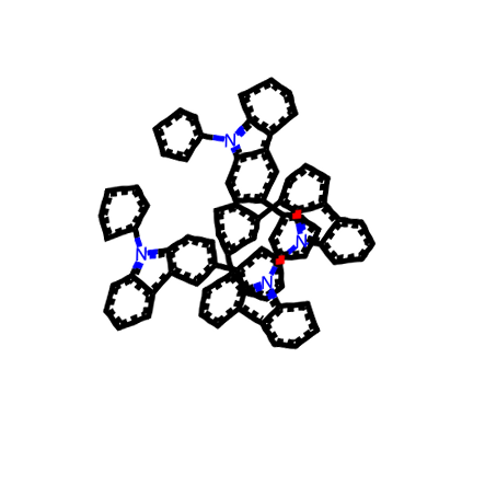 c1ccc(-n2c3ccccc3c3cc(-c4cccc(-n5c6ccccc6c6cccc(-c7cccc(-c8cccc9c%10ccccc%10n(-c%10cccc(-c%11ccc%12c(c%11)c%11ccccc%11n%12-c%11ccccc%11)c%10)c89)c7)c65)c4)ccc32)cc1